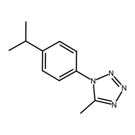 Cc1nnnn1-c1ccc(C(C)C)cc1